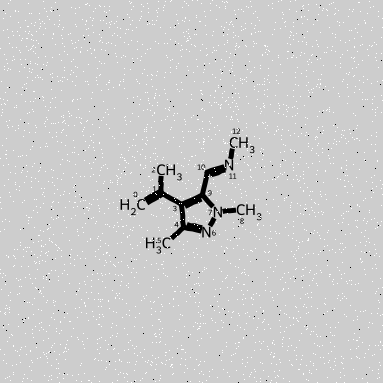 C=C(C)c1c(C)nn(C)c1/C=N/C